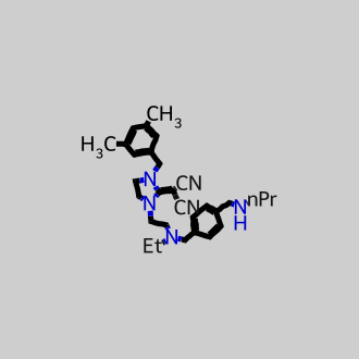 CCCNCc1ccc(CN(CC)CCN2CCN(Cc3cc(C)cc(C)c3)C2=C(C#N)C#N)cc1